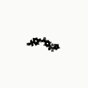 CC(C)(C#N)c1ccc(CNC(=O)c2ccc(S(=O)(=O)Nc3nccs3)cc2)cc1